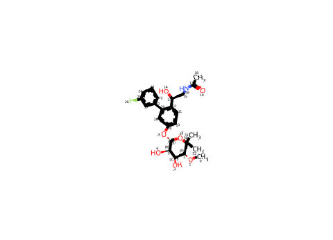 CO[C@@H]1[C@@H](O)[C@@H](O)[C@H](Oc2ccc(C(O)CNC(C)=O)c(-c3cccc(F)c3)c2)OC1(C)C